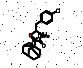 COC(=O)C12CC3CC(C1)C(N1CC(Cc4ccc(Cl)cc4)NC1=O)C(C3)C2